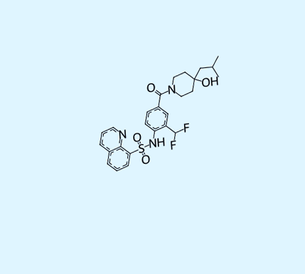 CC(C)CC1(O)CCN(C(=O)c2ccc(NS(=O)(=O)c3cccc4cccnc34)c(C(F)F)c2)CC1